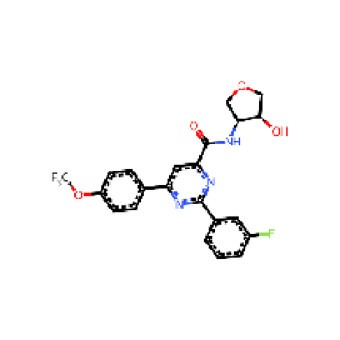 O=C(N[C@H]1COC[C@H]1O)c1cc(-c2ccc(OC(F)(F)F)cc2)nc(-c2cccc(F)c2)n1